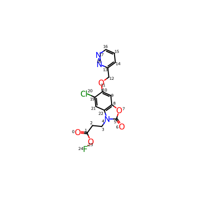 O=C(CCn1c(=O)oc2cc(OCc3cccnn3)c(Cl)cc21)OF